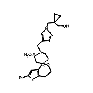 CCc1cc2c(s1)CCO[C@@]21CCN(Cc2cn(CC3(CO)CC3)nn2)[C@@H](C)C1